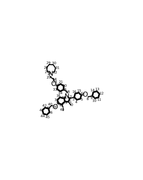 Cc1c(-c2ccc(OCc3ccccc3)cc2)n(Cc2ccc(OCCN3CCCCCC3)cc2)c2ccc(OCc3ccccc3)c(I)c12